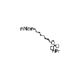 CCCCCCCCCCCCCCCCCOC(=O)OCCC